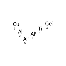 [Al].[Al].[Al].[Cu].[Ge].[Ti]